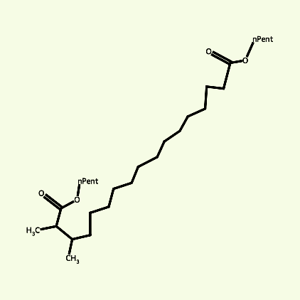 CCCCCOC(=O)CCCCCCCCCCCCCC(C)C(C)C(=O)OCCCCC